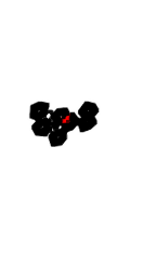 c1ccc(N(c2ccccc2-c2cccc(-c3cccc4ccccc34)c2)c2cccc3c2oc2ccccc23)cc1